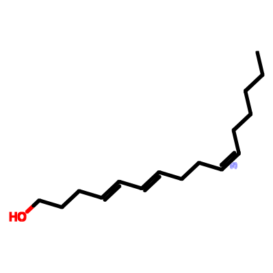 CCCCC/C=C\CCC=CC=CCCCO